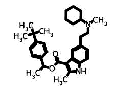 Cc1[nH]c2ccc(CCN(C)C3CCCCC3)cc2c1C(=O)OC(C)c1ccc(C(C)(C)C)cc1